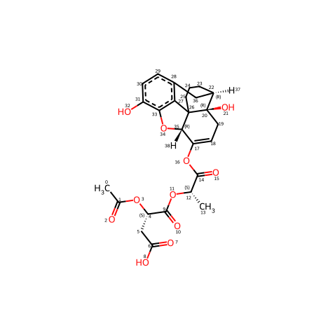 CC(=O)O[C@@H](CC(=O)O)C(=O)O[C@@H](C)C(=O)OC1=CC[C@@]2(O)[C@@H]3CCCC24c2c(ccc(O)c2O[C@@H]14)C3